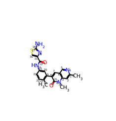 Cc1cc2c(cn1)cc(-c1cc(NC(=O)c3csc(N)n3)ccc1C)c(=O)n2C